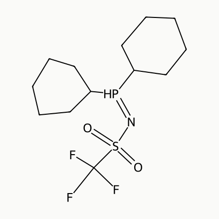 O=S(=O)(N=[PH](C1CCCCC1)C1CCCCC1)C(F)(F)F